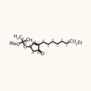 CCOC(=O)CCCCCCC1=CC(OC(C)(C)OC)CC1=O